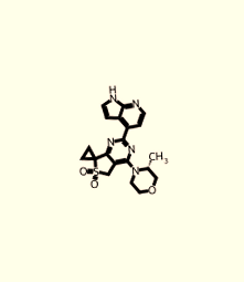 C[C@@H]1COCCN1c1nc(-c2ccnc3[nH]ccc23)nc2c1CS(=O)(=O)C21CC1